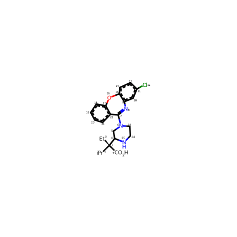 CC[C@@](C(=O)O)(C(C)C)C1CN(C2=Nc3cc(Cl)ccc3Oc3ccccc32)CCN1